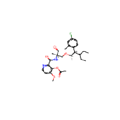 CCC(CC)[C@H](c1ccc(F)cc1C)[C@H](C)OC[C@@](C)(C=O)NC(=O)c1nccc(OC)c1OC(C)=O